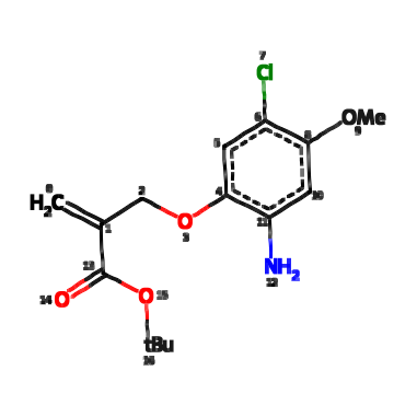 C=C(COc1cc(Cl)c(OC)cc1N)C(=O)OC(C)(C)C